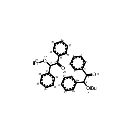 CC(C)COC(C(=O)c1ccccc1)c1ccccc1.CC(C)OC(C(=O)c1ccccc1)c1ccccc1